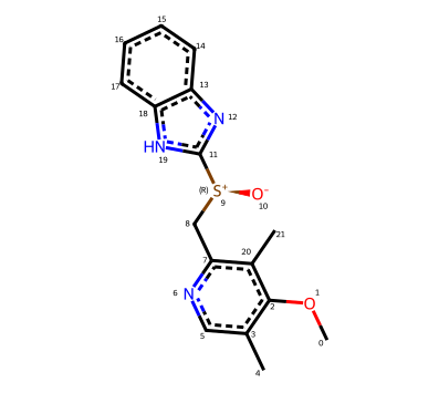 COc1c(C)cnc(C[S@+]([O-])c2nc3ccccc3[nH]2)c1C